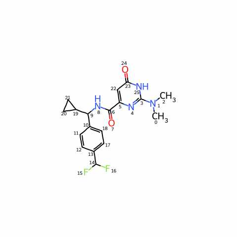 CN(C)c1nc(C(=O)NC(c2ccc(C(F)F)cc2)C2CC2)cc(=O)[nH]1